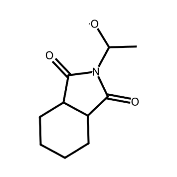 CC([O])N1C(=O)C2CCCCC2C1=O